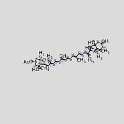 CC(=O)OC1CC(C)(C)C(=C=C/C(C)=C/C=C/C(C)=C/C=C/C=C(C)/C=C/C=C(\C)C(=O)/C=C2/C(C)(C)CC(O)CC2(C)O)C(C)(O)C1